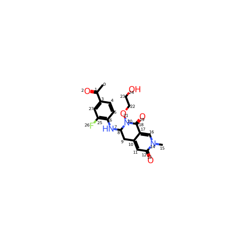 CC(=O)c1ccc(NC2Cc3cc(=O)n(C)cc3C(=O)N2OCCO)c(F)c1